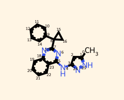 Cc1cc(Nc2nc(C3(c4ccccc4)CC3)nc3ccccc23)n[nH]1